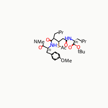 CNC(=O)[C@H](Cc1ccc(OC)cc1)NC(=O)C(CC(C)C)C(CC(=O)N[C@H](CC(C)C)C(=O)OC(C)(C)C)SC(C)=O